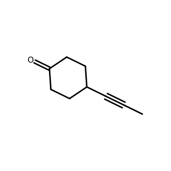 CC#CC1CCC(=O)CC1